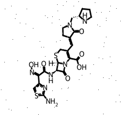 Nc1nc(/C(=N/O)C(=O)N[C@@H]2C(=O)N3C(C(=O)O)=C(/C=C4\CCN(C[C@@H]5CCCN5)C4=O)CS[C@H]23)cs1